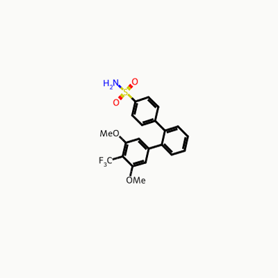 COc1cc(-c2ccccc2-c2ccc(S(N)(=O)=O)cc2)cc(OC)c1C(F)(F)F